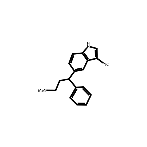 [C-]#[N+]c1c[nH]c2ccc(C(CCNC)c3ccccc3)cc12